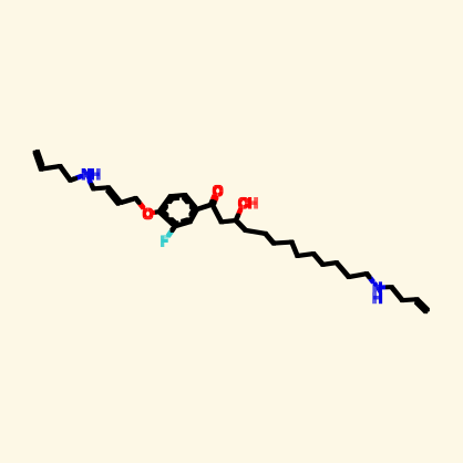 C=CCCNCC=CCOc1ccc(C(=O)CC(O)CCCCCCCCCCNCCC=C)cc1F